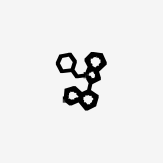 c1cc(-c2cc3ccccc3n2CC2CCCCC2)c2ccncc2c1